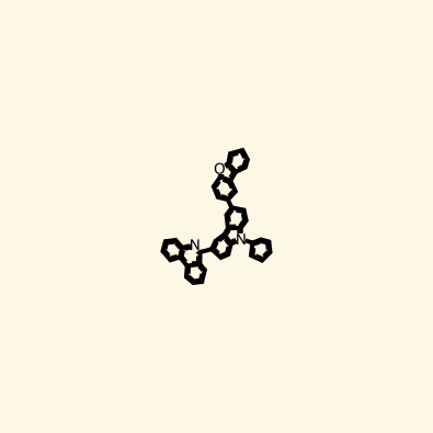 c1ccc(-n2c3ccc(-c4ccc5oc6ccccc6c5c4)cc3c3cc(-c4nc5ccccc5c5ccccc45)ccc32)cc1